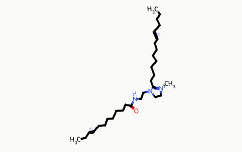 CC/C=C/CCCCCCCC(=O)NCCN1CC[N+](C)=C1CCCCCCC/C=C/CCCC